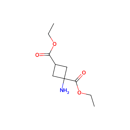 CCOC(=O)C1CC(N)(C(=O)OCC)C1